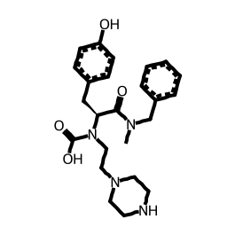 CN(Cc1ccccc1)C(=O)[C@H](Cc1ccc(O)cc1)N(CCN1CCNCC1)C(=O)O